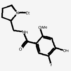 CCN1CCCC1CNC(=O)c1cc(I)c(O)cc1OC